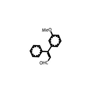 COc1cccc(/C(=C/C=O)c2ccccc2)c1